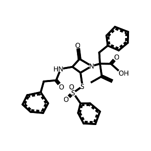 C=C(C)C(Cc1ccccc1)(C(=O)O)N1C(=O)C(NC(=O)Cc2ccccc2)C1SS(=O)(=O)c1ccccc1